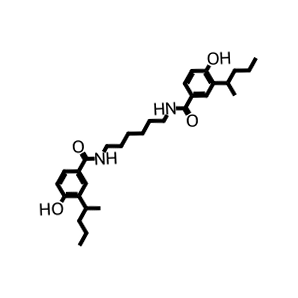 CCCC(C)c1cc(C(=O)NCCCCCCNC(=O)c2ccc(O)c(C(C)CCC)c2)ccc1O